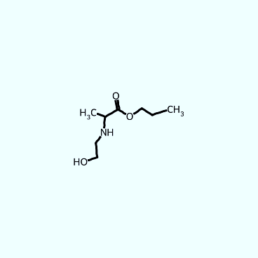 CCCOC(=O)C(C)NCCO